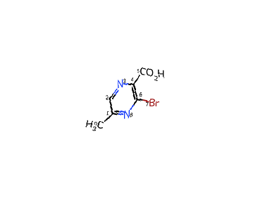 Cc1cnc(C(=O)O)c(Br)n1